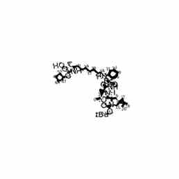 C=C[C@@H]1C[C@]1(NC(=O)C1C[C@@]2(CN1C(=O)OC(C)(C)C)CC2(C)C)C(=O)NS(=O)(=O)c1ccccc1NCCCCCCC[C@H](NC(=O)OC1CCCC1)C(=O)O